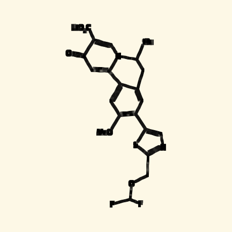 CCOC(=O)c1cn2c(cc1=O)-c1cc(OC)c(-c3cnc(COC(F)F)s3)cc1CC2C(C)(C)C